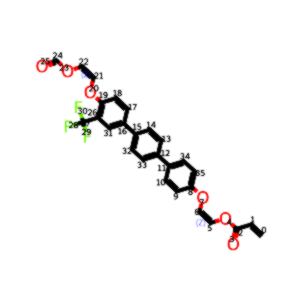 C=CC(=O)O/C=C\Oc1ccc(-c2ccc(-c3ccc(O/C=C\OC=O)c(C(F)(F)F)c3)cc2)cc1